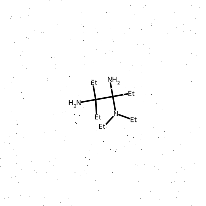 CCN(CC)C(N)(CC)C(N)(CC)CC